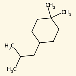 C[C](C)CC1CCC(C)(C)CC1